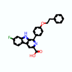 O=C(O)c1cc2c([nH]c3cc(F)ccc32)c(-c2ccc(OCCc3ccccc3)cc2)n1